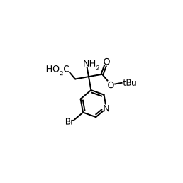 CC(C)(C)OC(=O)C(N)(CC(=O)O)c1cncc(Br)c1